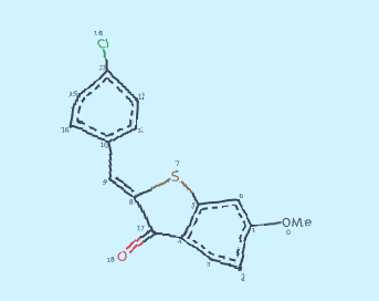 COc1ccc2c(c1)SC(=Cc1ccc(Cl)cc1)C2=O